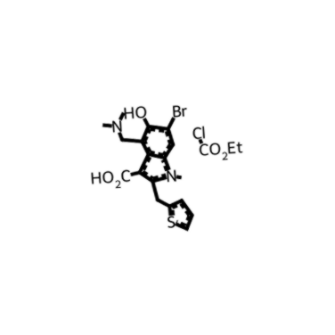 CCOC(=O)Cl.CN(C)Cc1c(O)c(Br)cc2c1c(C(=O)O)c(Cc1cccs1)n2C